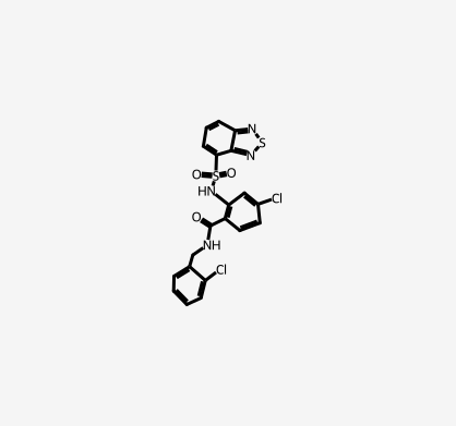 O=C(NCc1ccccc1Cl)c1ccc(Cl)cc1NS(=O)(=O)c1cccc2nsnc12